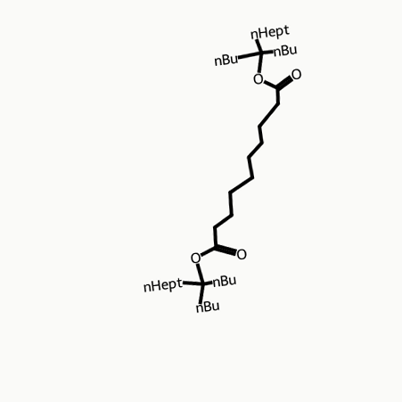 CCCCCCCC(CCCC)(CCCC)OC(=O)CCCCCCCCC(=O)OC(CCCC)(CCCC)CCCCCCC